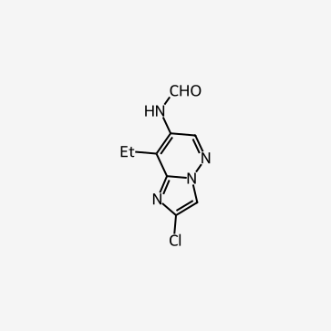 CCc1c(NC=O)cnn2cc(Cl)nc12